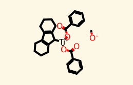 C[O-].O=C([O][Ti+]([O]C(=O)c1ccccc1)[CH]1C2=C(CCCC2)C2=C1CCCC2)c1ccccc1